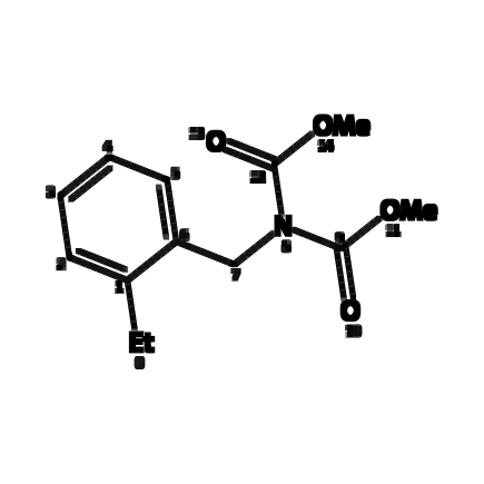 CCc1ccccc1CN(C(=O)OC)C(=O)OC